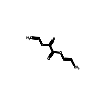 C=COC(=O)C(=O)OC=CC